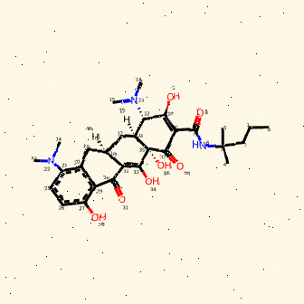 CCCC(C)(C)NC(=O)C1=C(O)[C@@H](N(C)C)[C@@H]2C[C@@H]3Cc4c(N(C)C)ccc(O)c4C(=O)C3=C(O)[C@]2(O)C1=O